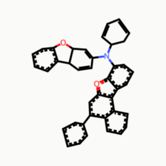 C1=CCC(N(C2=CC3Oc4ccccc4C3C=C2)c2cccc3c2oc2cc(-c4ccccc4)c4ccccc4c23)C=C1